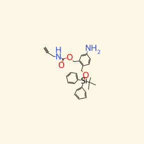 C#CCNC(=O)OCc1cc(N)ccc1CO[Si](c1ccccc1)(c1ccccc1)C(C)(C)C